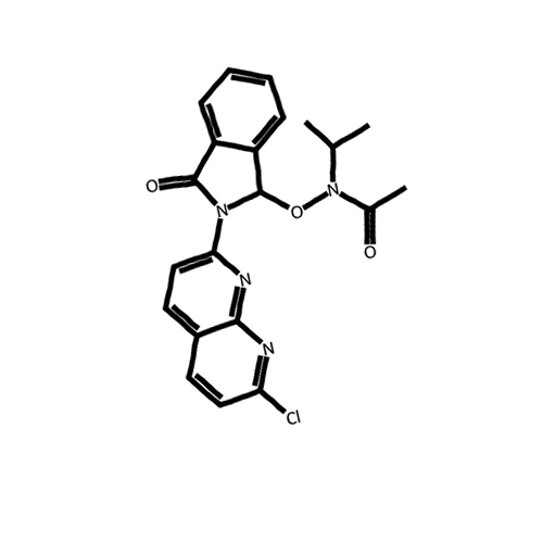 CC(=O)N(OC1c2ccccc2C(=O)N1c1ccc2ccc(Cl)nc2n1)C(C)C